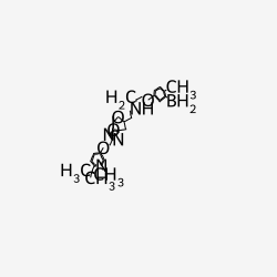 Bc1cc(OCC(=C)NCCC(Cc2nc(COc3ccc(C(C)(C)C)nc3)no2)OI)ccc1C